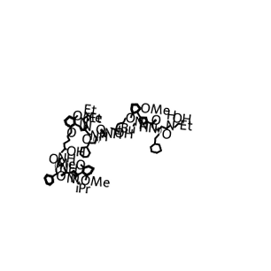 CCC(C)Cn1nc(C(=O)N[C@@H](CCC2CCCCC2)CC(=O)NCC(O)CC)cc1-c1c(OC)cccc1OCCCC(O)CNC(=O)C[C@H](CCC1CCCCC1)NC(=O)c1cc(-c2c(OC)cccc2OCCCC(O)CNC(=O)[C@H](CCc2ccccc2)NC(=O)c2cc(-c3c(OC)cccc3OC)n(CC(C)C)n2)n(CC(CC)CC)n1